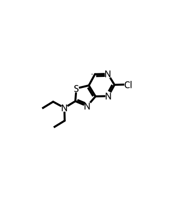 CCN(CC)c1nc2nc(Cl)n[c]c2s1